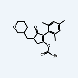 Cc1cc(C)c(C2=C(OC(=O)C(C)(C)C)CC(CC3CCCOC3)C2=O)c(C)c1